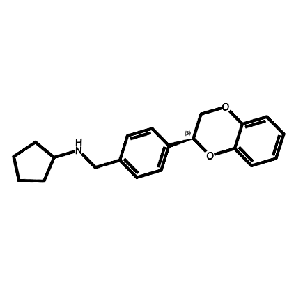 c1ccc2c(c1)OC[C@H](c1ccc(CNC3CCCC3)cc1)O2